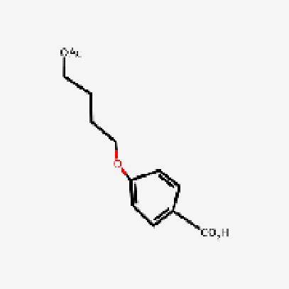 CC(=O)OCCCCOc1ccc(C(=O)O)cc1